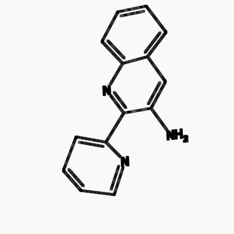 Nc1cc2ccccc2nc1-c1ccccn1